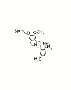 COc1cc2c(cc1OCCC#N)CCN1CC(c3cc(C)ccc3C)C(N)CC21